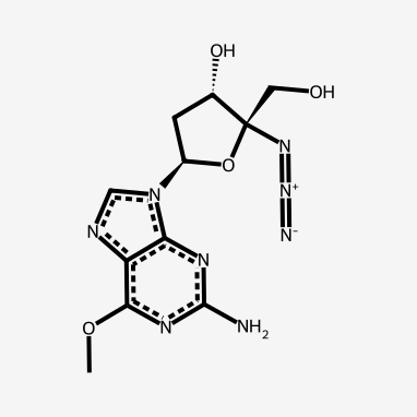 COc1nc(N)nc2c1ncn2[C@H]1C[C@H](O)[C@](CO)(N=[N+]=[N-])O1